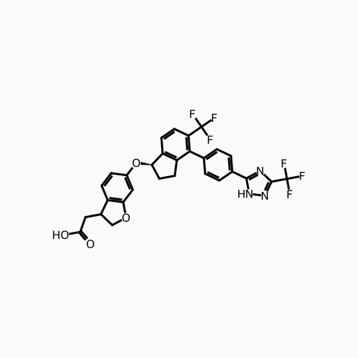 O=C(O)CC1COc2cc(O[C@@H]3CCc4c3ccc(C(F)(F)F)c4-c3ccc(-c4nc(C(F)(F)F)n[nH]4)cc3)ccc21